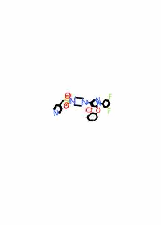 O=c1c(OC2CCCCC2)c(N2CCN(S(=O)(=O)Cc3ccncc3)CC2)cnn1-c1cc(F)cc(F)c1